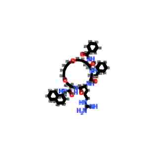 N=C(N)NCCC[C@@H]1NC(=O)[C@@H](Cc2ccccc2)NC(=O)[C@@H](NC(=O)c2ccccc2)CCOCCCCOC[C@@H](C(=O)Nc2cccc3ccccc23)NC1=O